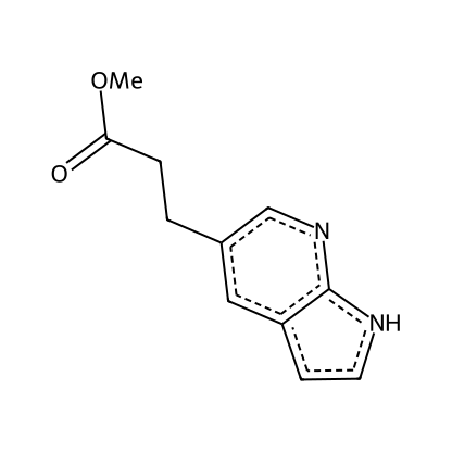 COC(=O)CCc1cnc2[nH]ccc2c1